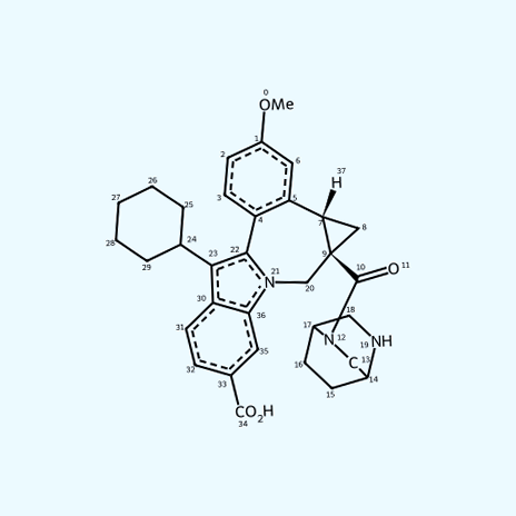 COc1ccc2c(c1)[C@@H]1C[C@]1(C(=O)N1CC3CCC1CN3)Cn1c-2c(C2CCCCC2)c2ccc(C(=O)O)cc21